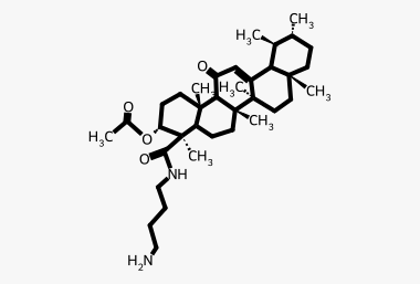 CC(=O)O[C@@H]1CC[C@@]2(C)C(CC[C@]3(C)C2C(=O)C=C2C4[C@@H](C)[C@H](C)CC[C@]4(C)CC[C@]23C)[C@@]1(C)C(=O)NCCCCN